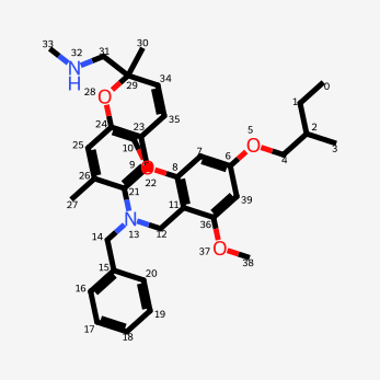 CCC(C)COc1cc(OC)c(CN(Cc2ccccc2)c2cc3c(cc2C)OC(C)(CNC)C=C3)c(OC)c1